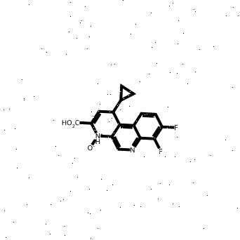 O=C(O)C1=CC(C2CC2)c2c(cnc3c(F)c(F)ccc23)[NH+]1[O-]